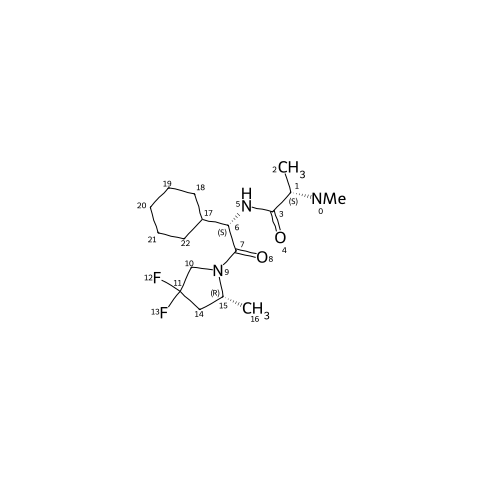 CN[C@@H](C)C(=O)N[C@H](C(=O)N1CC(F)(F)C[C@H]1C)C1CCCCC1